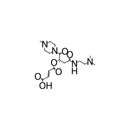 CN(C)CCNC(=O)C[C](OC(=O)C=CC(=O)O)C(=O)N1CCN(C)CC1